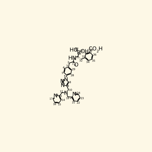 O=C(Cc1ccc(-n2cc(CN(Cc3ccccn3)Cc3ccccn3)nn2)cc1)N[C@@H](Cc1cccc(C(=O)O)c1)B(O)O